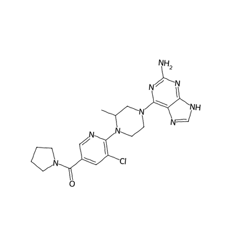 CC1CN(c2nc(N)nc3[nH]cnc23)CCN1c1ncc(C(=O)N2CCCC2)cc1Cl